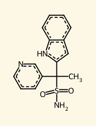 CC(c1cccnc1)(c1cc2ccccc2[nH]1)S(N)(=O)=O